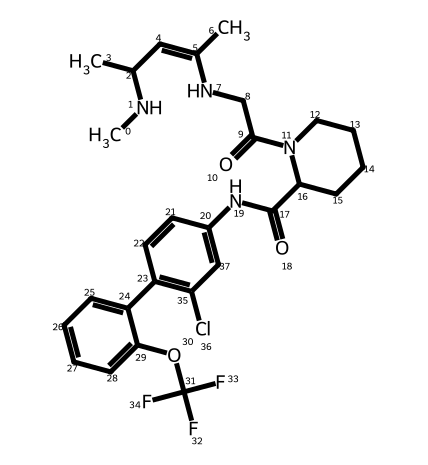 CNC(C)/C=C(/C)NCC(=O)N1CCCCC1C(=O)Nc1ccc(-c2ccccc2OC(F)(F)F)c(Cl)c1